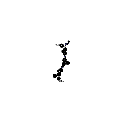 C=C/C=C\C=C/CN(c1ccc(C(C)(C)C)cc1)c1ccc2c(c1)C(C)(C)c1cc(/C=C/c3ccc4c5ccc(/C=C/c6ccc7c(c6)C(C)(C)c6cc(N(c8ccccc8)c8ccc(C(C)(C)C)cc8)ccc6-7)cc5c5ccccc5c4c3)ccc1-2